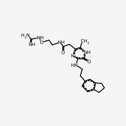 Cc1[nH]c(=O)c(NCCc2ccc3c(c2)CCC3)nc1CC(=O)NCCONC(=N)N